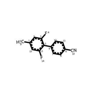 Cc1cc(F)c(-c2ccc(C#N)cc2)c(F)c1